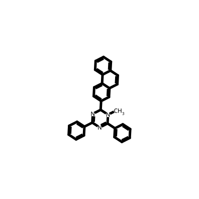 CN1C(c2ccccc2)=NC(c2ccccc2)=NC1c1ccc2c(ccc3ccccc32)c1